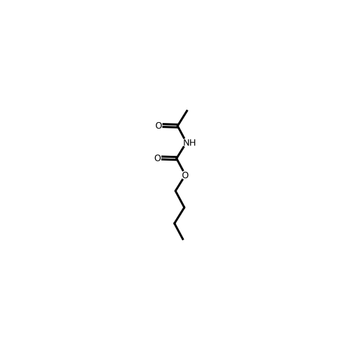 CCCCOC(=O)NC(C)=O